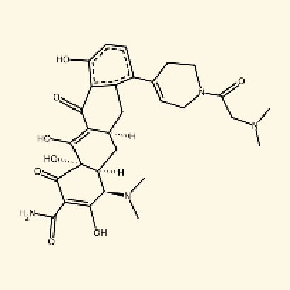 CN(C)CC(=O)N1CC=C(c2ccc(O)c3c2C[C@H]2C[C@H]4[C@@H](N(C)C)C(O)=C(C(N)=O)C(=O)[C@@]4(O)C(O)=C2C3=O)CC1